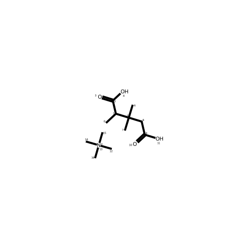 CC(C(=O)O)C(C)(C)CC(=O)O.C[N+](C)(C)C